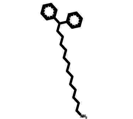 NCCCCCCCCCCCCCC(c1ccccc1)c1ccccc1